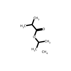 C.CC(C)OC(=O)C(C)C